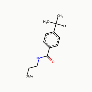 CCC(C)(C)c1ccc(C(=O)NCCOC)cc1